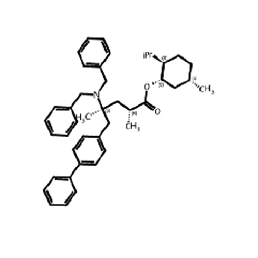 CC(C)[C@H]1CC[C@H](C)C[C@@H]1OC(=O)[C@H](C)C[C@@](C)(Cc1ccc(-c2ccccc2)cc1)N(Cc1ccccc1)Cc1ccccc1